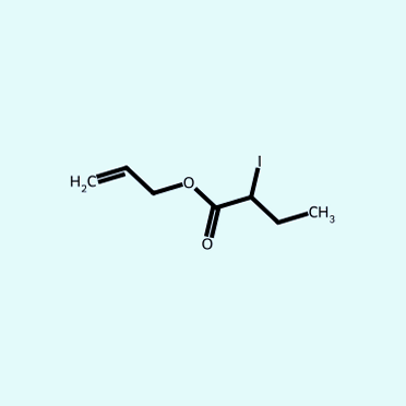 C=CCOC(=O)C(I)CC